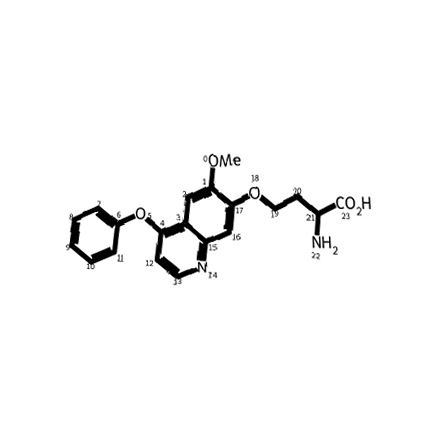 COc1cc2c(Oc3ccccc3)ccnc2cc1OCCC(N)C(=O)O